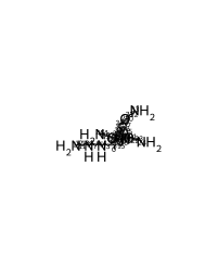 CC(CCCNCCCNCCCN)C1CC[C@H]2C3[C@H](OCCCN)CC4CC(OCCCN)CC[C@]4(C)[C@H]3C[C@H](OCCCN)[C@]12C